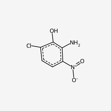 Nc1c([N+](=O)[O-])ccc(Cl)c1O